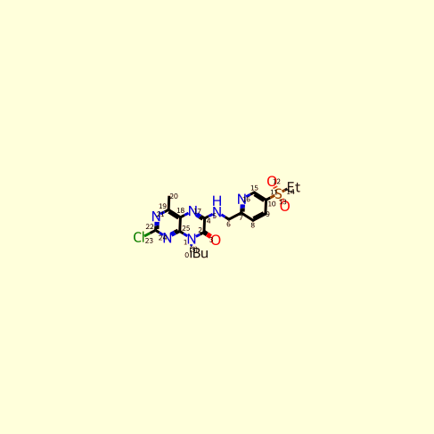 CC[C@H](C)n1c(=O)c(NCc2ccc(S(=O)(=O)CC)cn2)nc2c(C)nc(Cl)nc21